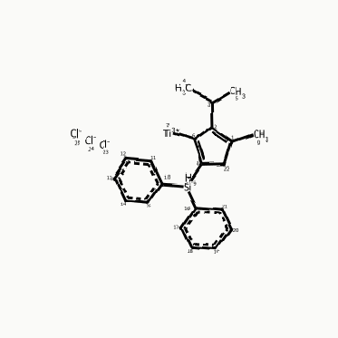 CC1=C(C(C)C)[C]([Ti+3])=C([SiH](c2ccccc2)c2ccccc2)C1.[Cl-].[Cl-].[Cl-]